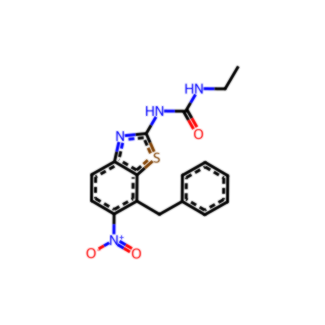 CCNC(=O)Nc1nc2ccc([N+](=O)[O-])c(Cc3ccccc3)c2s1